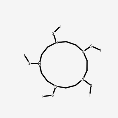 ISN1CCN(SI)CCN(SI)CCN(SI)CCN(SI)CC1